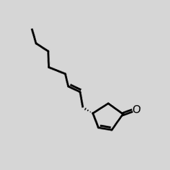 CCCCCC=CC[C@H]1C=CC(=O)C1